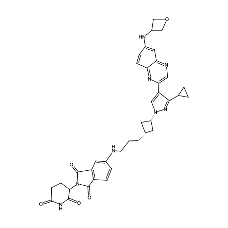 O=C1CCC(N2C(=O)c3ccc(NCCC[C@H]4C[C@@H](n5cc(-c6cnc7cc(NC8COC8)ccc7n6)c(C6CC6)n5)C4)cc3C2=O)C(=O)N1